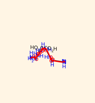 NC(=O)[C@H](CCCCNC(=O)COCCOCCNC(=O)CCC(NC(=O)CCC(NC(=O)CCCCCCCCCCCNC(=O)CCCS(=O)(=O)NC(=O)CCCCCCCCCCCCCCCc1nnn[nH]1)C(=O)O)C(=O)O)NCC(=O)CCc1cnc[nH]1